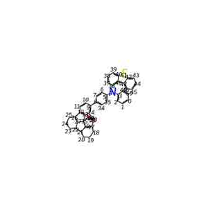 c1ccc(N(c2ccc(-c3ccc4c(c3)C35C6=C(CCCC6C6CCCC4C63)c3ccccc35)cc2)c2cccc3sc4ccccc4c23)cc1